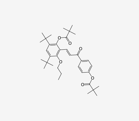 CCCOc1c(C(C)(C)C)cc(C(C)(C)C)c(OC(=O)C(C)(C)C)c1/C=C/C(=O)c1ccc(OC(=O)C(C)(C)C)cc1